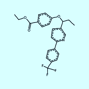 CCOC(=O)c1ccc(OC(CC)c2ccc(-c3ccc(C(F)(F)F)cc3)nc2)cc1